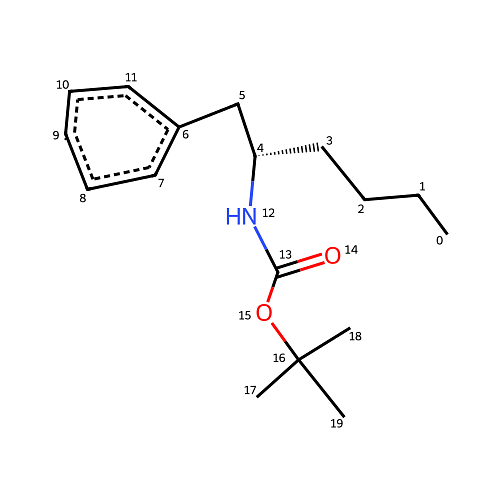 CCCC[C@@H](Cc1cc[c]cc1)NC(=O)OC(C)(C)C